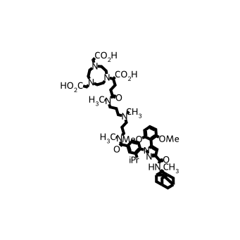 COc1cccc(OC)c1-c1cc(C(=O)NC2(C)C3CC4CC(C3)CC2C4)nn1-c1ccc(C(=O)N(C)CCCN(C)CCCN(C)C(=O)CCC(C(=O)O)N2CCN(CC(=O)O)CCN(CC(=O)O)CC2)cc1C(C)C